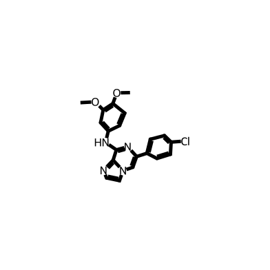 COc1ccc(Nc2nc(-c3ccc(Cl)cc3)cn3ccnc23)cc1OC